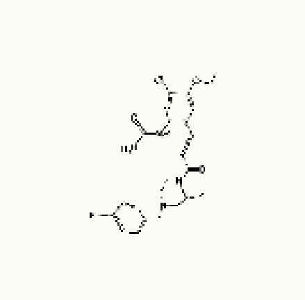 CCOc1cc(C=CC(=O)N2CCN(Cc3ccc(F)cc3)CC2C)c(NC(N)=O)cc1Cl